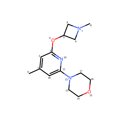 Cc1cc(OC2CN(C)C2)nc(N2CCOCC2)c1